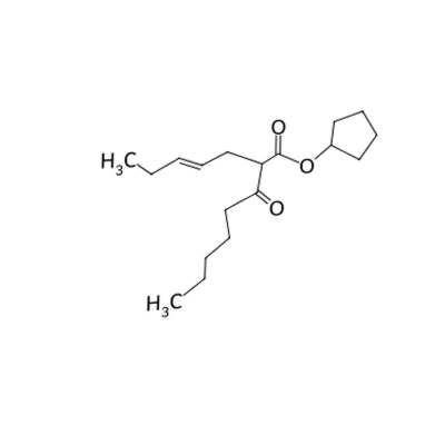 CCC=CCC(C(=O)CCCCC)C(=O)OC1CCCC1